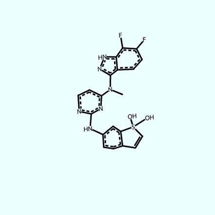 CN(c1ccnc(Nc2ccc3c(c2)S(O)(O)C=C3)n1)c1n[nH]c2c(F)c(F)ccc12